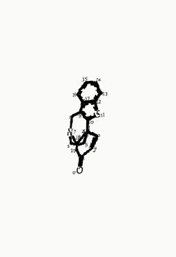 O=C1C=CC23CCN(Cc4c2sc2ccccc42)C3C1